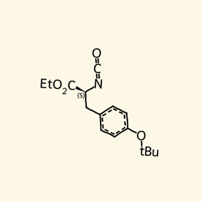 CCOC(=O)[C@H](Cc1ccc(OC(C)(C)C)cc1)N=C=O